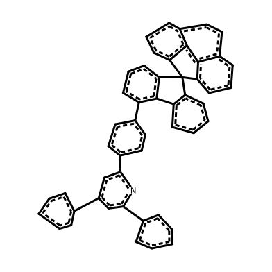 c1ccc(-c2cc(-c3ccccc3)nc(-c3ccc(-c4cccc5c4-c4ccccc4C54c5cccc6ccc7cccc4c7c56)cc3)c2)cc1